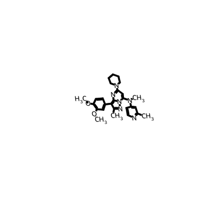 COc1ccc(-c2c(C)nn3c(N(C)c4ccnc(C)c4)cc(N4CCCCC4)nc23)cc1OC